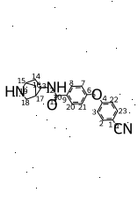 N#Cc1ccc(Oc2ccc(C(=O)NC3CC4CC3CN4)cc2)cc1